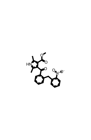 COC(=O)c1c(C)[nH]c(C)c1C(=O)c1ccccc1Cc1ccccc1[N+](=O)[O-]